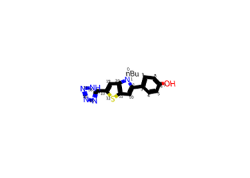 CCCCn1c(-c2ccc(O)cc2)cc2sc(-c3nnn[nH]3)cc21